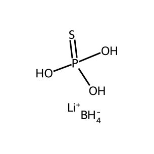 OP(O)(O)=S.[BH4-].[Li+]